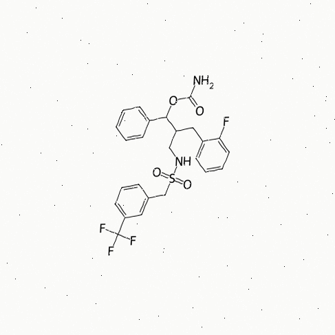 NC(=O)OC(c1ccccc1)C(CNS(=O)(=O)Cc1cccc(C(F)(F)F)c1)Cc1ccccc1F